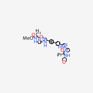 COC(=O)NC(C)C(=O)N1CCC[C@H]1C1=NCC(C23CCC(c4ccc(-c5cnc([C@@H]6CCCN6C(=O)[C@@H](NC6CCOCC6)C(C)C)[nH]5)cc4)(CC2)CC3)N1